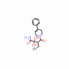 CC(C)CC(C(=O)N1CC=C(c2ccccc2)CC1)C(O)(O)C(N)=O